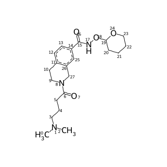 CN(C)CCCC(=O)N1CCc2ccc(C(=O)NOC3CCCCO3)cc2C1